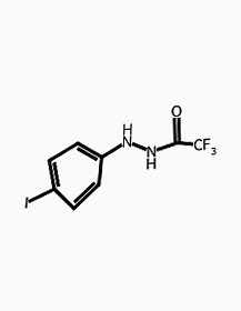 O=C(NNc1ccc(I)cc1)C(F)(F)F